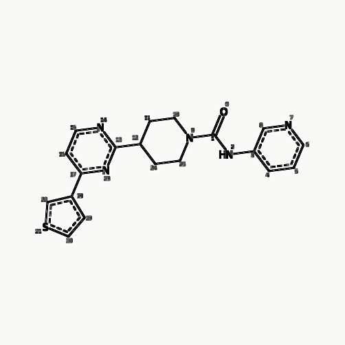 O=C(Nc1cccnc1)N1CCC(c2nccc(-c3ccsc3)n2)CC1